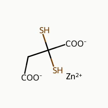 O=C([O-])CC(S)(S)C(=O)[O-].[Zn+2]